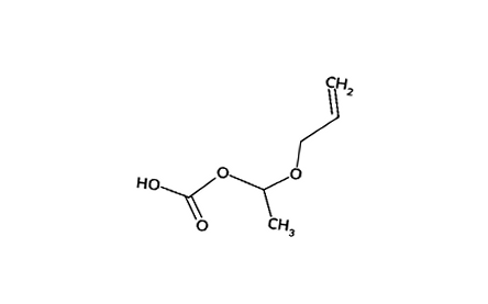 C=CCOC(C)OC(=O)O